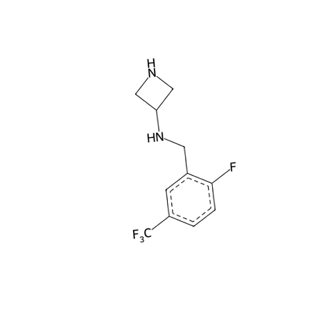 Fc1ccc(C(F)(F)F)cc1CNC1CNC1